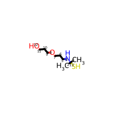 CC(C)(S)NCCCOCCCO